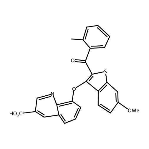 COc1ccc2c(Oc3cccc4cc(C(=O)O)cnc34)c(C(=O)c3ccccc3C)sc2c1